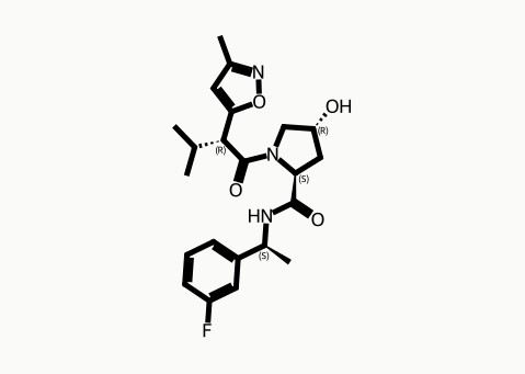 Cc1cc([C@H](C(=O)N2C[C@H](O)C[C@H]2C(=O)N[C@@H](C)c2cccc(F)c2)C(C)C)on1